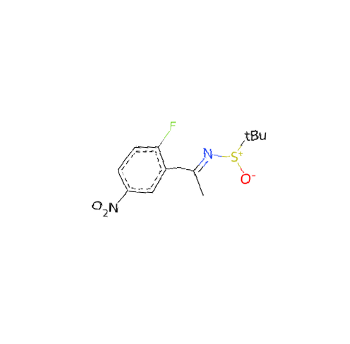 CC(=N[S+]([O-])C(C)(C)C)c1cc([N+](=O)[O-])ccc1F